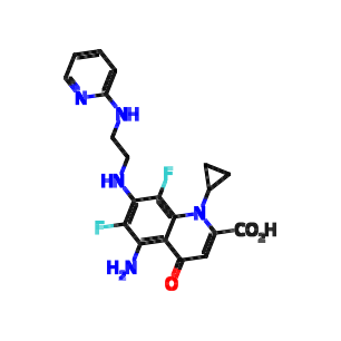 Nc1c(F)c(NCCNc2ccccn2)c(F)c2c1c(=O)cc(C(=O)O)n2C1CC1